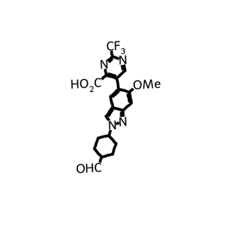 COc1cc2nn(C3CCC(C=O)CC3)cc2cc1-c1cnc(C(F)(F)F)nc1C(=O)O